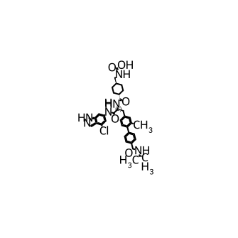 Cc1cc(C[C@H](NC(=O)[C@H]2CC[C@H](CNC(=O)O)CC2)C(=O)Nc2cc(Cl)c3cn[nH]c3c2)ccc1-c1ccc(C(=O)NC(C)C)cc1